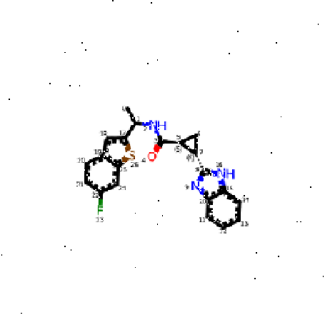 CC(NC(=O)[C@H]1C[C@@H]1c1nc2ccccc2[nH]1)c1cc2ccc(F)cc2s1